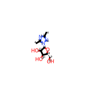 Cc1nc(C)n([C@@H]2O[C@H](CO)C(O)C2O)n1